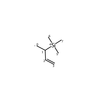 [CH2]C(C=C)[Si](C)(C)C